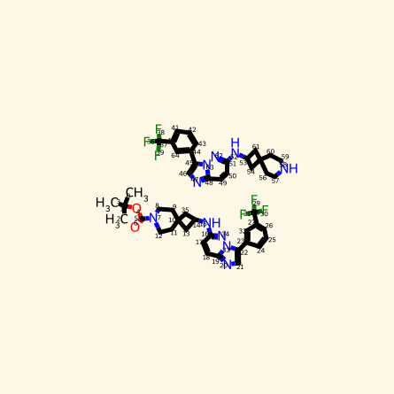 CC(C)(C)OC(=O)N1CCC2(CC1)CC(Nc1ccc3ncc(-c4cccc(C(F)(F)F)c4)n3n1)C2.FC(F)(F)c1cccc(-c2cnc3ccc(NC4CC5(CCNCC5)C4)nn23)c1